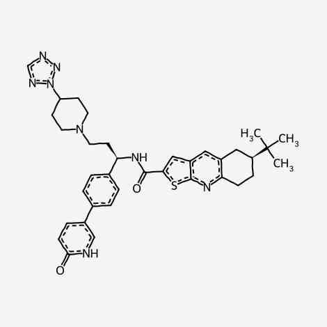 CC(C)(C)[C@H]1CCc2nc3sc(C(=O)N[C@H](CCN4CCC(n5ncnn5)CC4)c4ccc(-c5ccc(=O)[nH]c5)cc4)cc3cc2C1